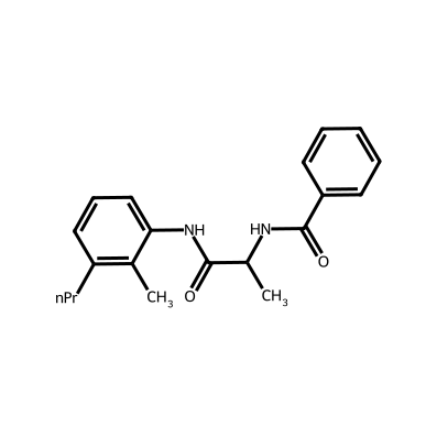 CCCc1cccc(NC(=O)C(C)NC(=O)c2ccccc2)c1C